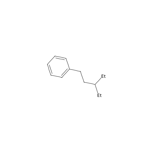 CCC(CC)CCc1ccccc1